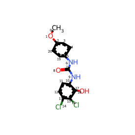 COc1ccc(NC(=O)Nc2ccc(Cl)c(Cl)c2O)cc1